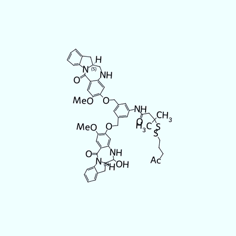 COc1cc2c(cc1OCc1cc(COc3cc4c(cc3OC)C(=O)N3c5ccccc5C[C@H]3C(O)N4)cc(NC(=O)CC(C)(C)SSCCCC(C)=O)c1)NC[C@@H]1Cc3ccccc3N1C2=O